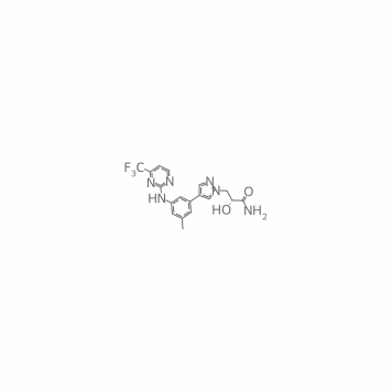 Cc1cc(Nc2nccc(C(F)(F)F)n2)cc(-c2cnn(C[C@@H](O)C(N)=O)c2)c1